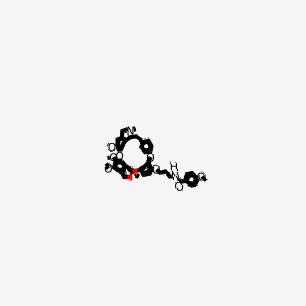 COc1ccc(C(=O)NCCCOc2ccc3cc2Oc2ccc(cc2)CC2c4cc(c(OC)cc4CCN2C)Oc2c(OC)c(OC)cc4c2[C@@H](C3)N(C)CC4)cc1